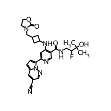 CC(C)(O)C(F)CNC(=O)c1cnc(-c2ccc3cc(C#N)cnn23)cc1NC1CC(CN2CCOC2=O)C1